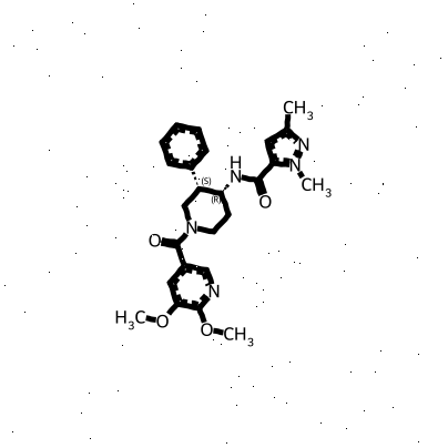 COc1cc(C(=O)N2CC[C@@H](NC(=O)c3cc(C)nn3C)[C@@H](c3ccccc3)C2)cnc1OC